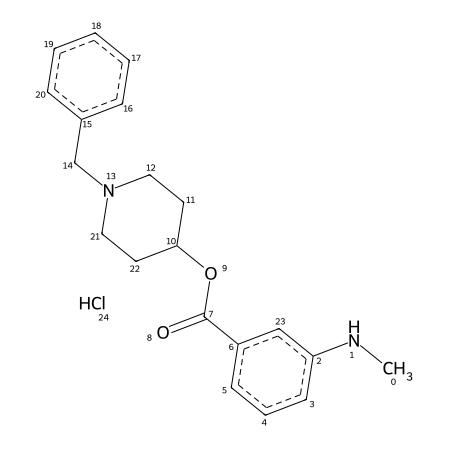 CNc1cccc(C(=O)OC2CCN(Cc3ccccc3)CC2)c1.Cl